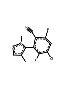 Cn1ncc(I)c1-c1c(F)c(Cl)cc(F)c1C#N